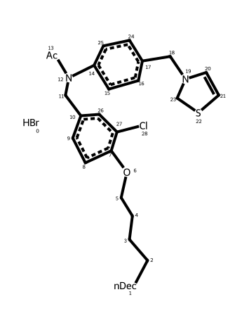 Br.CCCCCCCCCCCCCCOc1ccc(CN(C(C)=O)c2ccc(CN3C=CSC3)cc2)cc1Cl